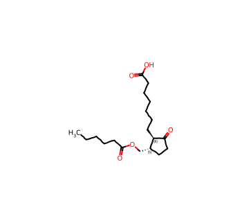 CCCCCC(=O)OC[C@H]1CCC(=O)[C@@H]1CCCCCCC(=O)O